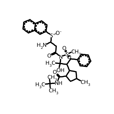 CC1CC(C(=O)NC(C)(C)C)C(C(Cc2ccccc2)C(C)(O)N(C(=O)CC(N)[S+]([O-])c2ccc3ccccc3c2)S(C)(=O)=O)C1